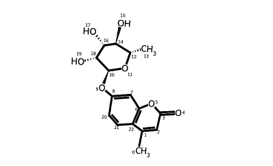 Cc1cc(=O)oc2cc(O[C@@H]3O[C@@H](C)[C@H](O)[C@@H](O)[C@H]3O)ccc12